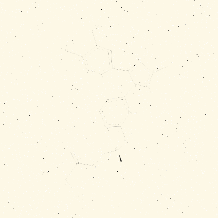 COc1cc(-c2[nH]c(C(C)(C)C)nc2-c2ccnc(N[C@@H](C)CNC(=O)[C@H](C)OC)n2)cnc1N